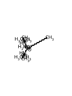 CCCCCCCCCCCCCCNC(=O)C(CN)(CCCNC(=O)OC(C)(C)C)CCCNC(=O)OC(C)(C)C